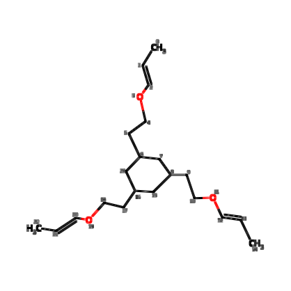 CC=COCCC1CC(CCOC=CC)CC(CCOC=CC)C1